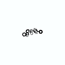 O=C(Nc1cnc(-c2ccccc2)cn1)N1CC=CC2=C1COC21CCCCC1